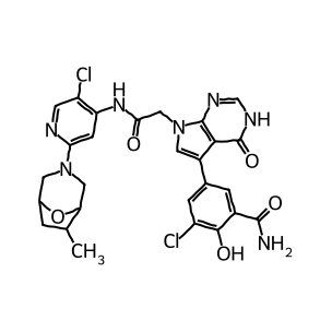 CC1CC2CN(c3cc(NC(=O)Cn4cc(-c5cc(Cl)c(O)c(C(N)=O)c5)c5c(=O)[nH]cnc54)c(Cl)cn3)CC1O2